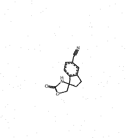 N#Cc1ccc2c(c1)CCC21COC(=O)N1